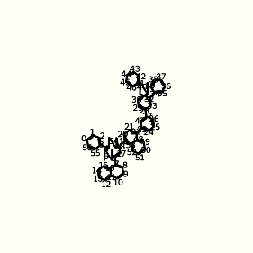 c1ccc(-c2nc(-c3cccc4ccccc34)cc(-c3ccc(-c4cccc(-c5ccc6c(c5)c5ccccc5n6-c5ccccc5)c4)c4ccccc34)n2)cc1